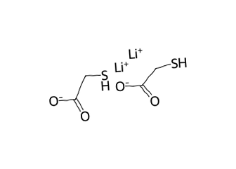 O=C([O-])CS.O=C([O-])CS.[Li+].[Li+]